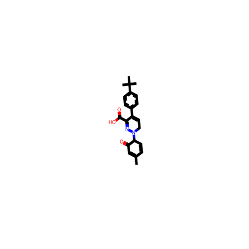 CC1=CC(=O)C(N2CC=C(c3ccc(C(C)(C)C)cc3)C(C(=O)O)=N2)C=C1